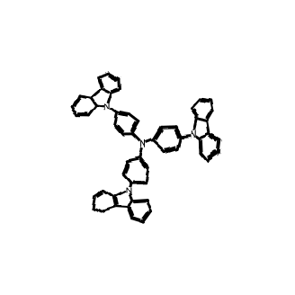 C1=CC2c3ccccc3N(c3ccc(N(c4ccc(-n5c6c(c7ccccc75)CCC=C6)cc4)c4ccc(-n5c6ccccc6c6ccccc65)cc4)cc3)C2C=C1